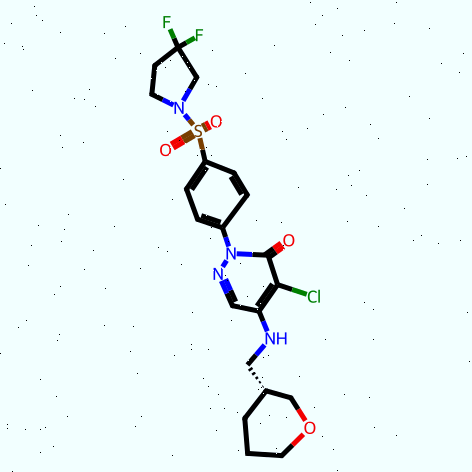 O=c1c(Cl)c(NC[C@H]2CCCOC2)cnn1-c1ccc(S(=O)(=O)N2CCC(F)(F)C2)cc1